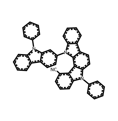 N#Cc1cccc2c1c1c(ccc3c4ccccc4n(-c4ccc5c6ccccc6n(-c6ccccc6)c5c4)c31)n2-c1ccccc1